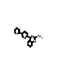 Cc1nc(-c2ccc(-c3ccccn3)cn2)c2ccccc2n1